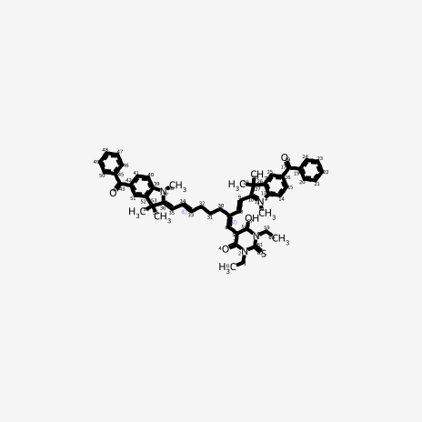 CCN1C(=O)C(/C=C(\C=CC2=[N+](C)c3ccc(C(=O)c4ccccc4)cc3C2(C)C)CCC/C=C/C=C2N(C)c3ccc(C(=O)c4ccccc4)cc3C2(C)C)C(O)N(CC)C1=S